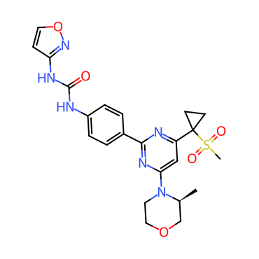 C[C@H]1COCCN1c1cc(C2(S(C)(=O)=O)CC2)nc(-c2ccc(NC(=O)Nc3ccon3)cc2)n1